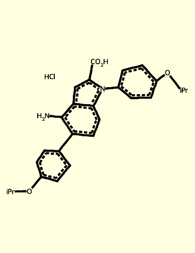 CC(C)Oc1ccc(-c2ccc3c(cc(C(=O)O)n3-c3ccc(OC(C)C)cc3)c2N)cc1.Cl